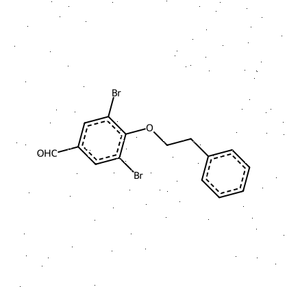 O=Cc1cc(Br)c(OCCc2ccccc2)c(Br)c1